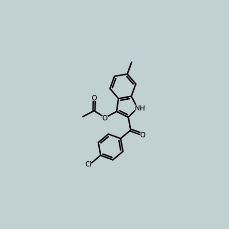 CC(=O)Oc1c(C(=O)c2ccc(Cl)cc2)[nH]c2cc(C)ccc12